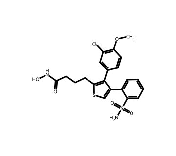 COc1ccc(-c2c(-c3ccccc3S(N)(=O)=O)csc2CCCC(=O)NO)cc1Cl